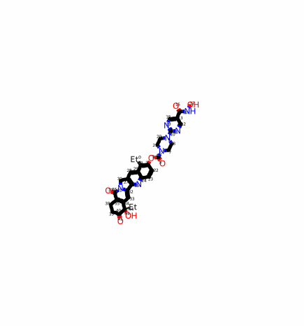 CCc1c(OC(=O)N2CCN(c3ncc(C(=O)NO)cn3)CC2)ccc2nc3c(cc12)Cn1c-3cc2c(c1=O)CCC(=O)[C@]2(O)CC